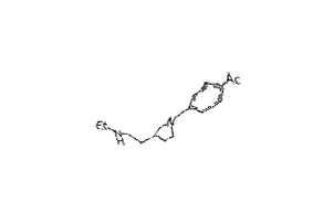 CCNCCC1CCN(c2ccc(C(C)=O)cc2)C1